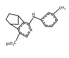 CCOC(=O)c1cnc(Nc2cccc(C)c2)c2c1C1CCC2C1